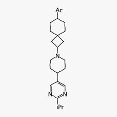 CC(=O)C1CCC2(CC1)CC(N1CCC(c3cnc(C(C)C)nc3)CC1)C2